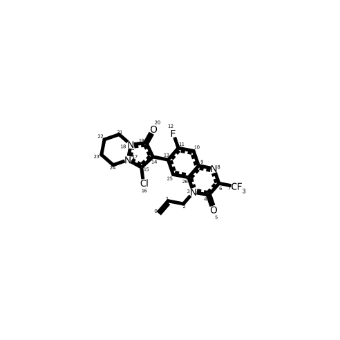 C=CCn1c(=O)c(C(F)(F)F)nc2cc(F)c(-c3c(Cl)n4n(c3=O)CCCC4)cc21